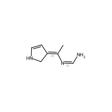 CC(/N=C\N)=C1\C=CNC1